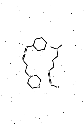 C(=NCCN1CCOCC1)=NC1CCCCC1.CCN=C=NCCCN(C)C